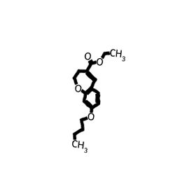 CCCCOc1ccc2c(c1)OCCC(C(=O)OCC)=C2